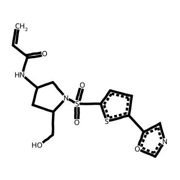 C=CC(=O)NC1CC(CO)N(S(=O)(=O)c2ccc(-c3cnco3)s2)C1